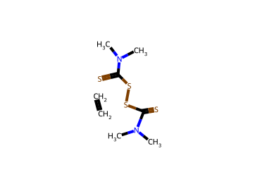 C=C.CN(C)C(=S)SSC(=S)N(C)C